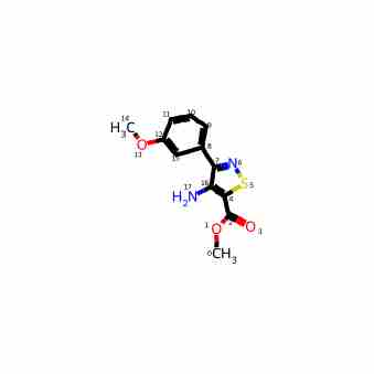 COC(=O)c1snc(-c2cccc(OC)c2)c1N